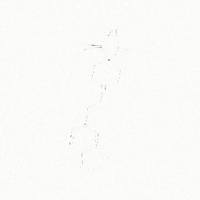 O=C(O)C1(O)CCN(CCc2ccc3c(c2)OCO3)CC1